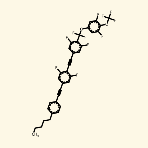 CCCCCc1ccc(C#Cc2cc(F)c(C#Cc3cc(F)c(C(F)(F)Oc4cc(F)c(OC(F)(F)F)c(F)c4)c(F)c3)c(F)c2)cc1